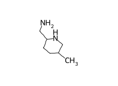 CC1CCC(CN)NC1